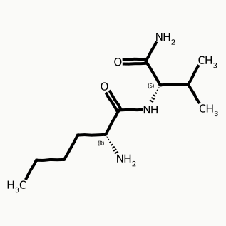 CCCC[C@@H](N)C(=O)N[C@H](C(N)=O)C(C)C